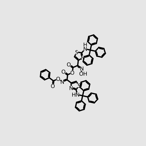 O=C(OC(=O)C(=NOC(=O)c1ccccc1)c1csc(NC(c2ccccc2)(c2ccccc2)c2ccccc2)n1)C(=NO)c1csc(NC(c2ccccc2)(c2ccccc2)c2ccccc2)n1